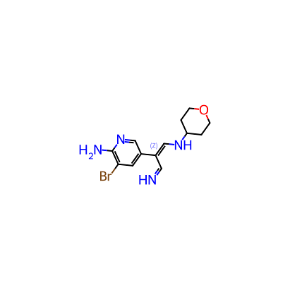 N=C/C(=C\NC1CCOCC1)c1cnc(N)c(Br)c1